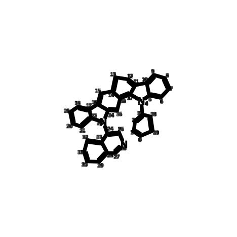 c1ccc(-n2c3ccccc3c3ccc4cc5c6ccccc6n(-c6cncc7ccccc67)c5cc4c32)cc1